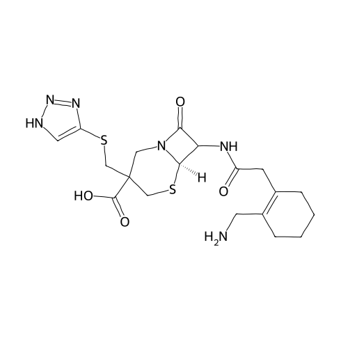 NCC1=C(CC(=O)NC2C(=O)N3CC(CSc4c[nH]nn4)(C(=O)O)CS[C@H]23)CCCC1